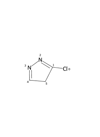 ClC1=NN=CC1